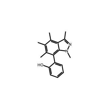 Cc1c(C)c(-c2ccccc2O)c2c(c(C)nn2C)c1C